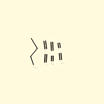 CCCN.N=C=O.N=C=O.N=C=O